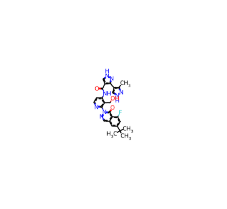 Cc1n[nH]cc1-c1n[nH]cc1C(=O)Nc1ccnc(-n2ncc3cc(C(C)(C)C)cc(F)c3c2=O)c1CO